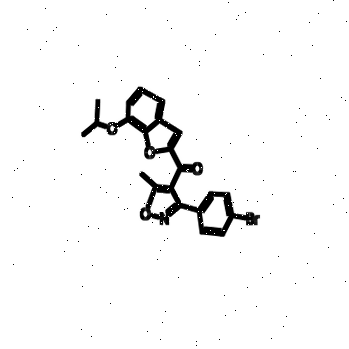 Cc1onc(-c2ccc(Br)cc2)c1C(=O)c1cc2cccc(OC(C)C)c2o1